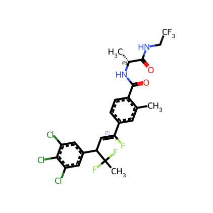 Cc1cc(/C(F)=C/C(c2cc(Cl)c(Cl)c(Cl)c2)C(C)(F)F)ccc1C(=O)N[C@H](C)C(=O)NCC(F)(F)F